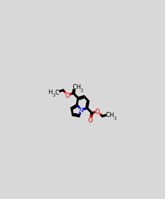 C=C(OCC)c1ccc(C(=O)OCC)n2cccc12